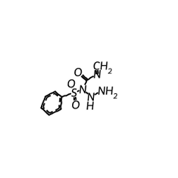 C=NC(=O)N(NN)S(=O)(=O)c1ccccc1